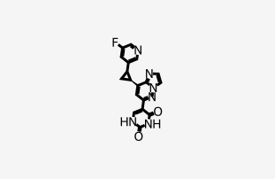 O=c1[nH]cc(-c2cc([C@H]3CC3c3cncc(F)c3)c3nccn3n2)c(=O)[nH]1